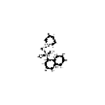 O=S(=O)(O[n+]1ccccc1)c1cccc2ccccc12